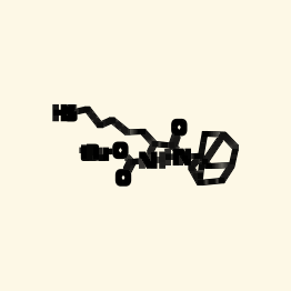 CC(C)(C)OC(=O)NC(CCCCCS)C(=O)NC12CC3CC(CC(C3)C1)C2